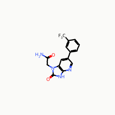 NC(=O)Cn1c(=O)[nH]c2ncc(-c3cccc(C(F)(F)F)c3)cc21